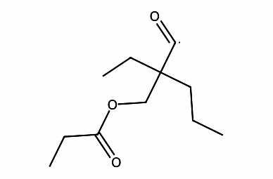 CCCC([C]=O)(CC)COC(=O)CC